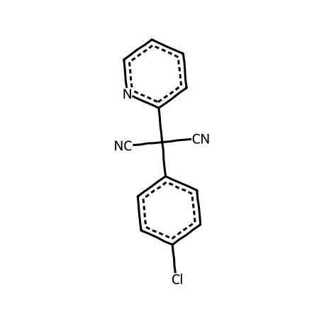 N#CC(C#N)(c1ccc(Cl)cc1)c1ccccn1